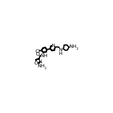 Nc1nc(C(=O)Nc2cc(-c3ccc(CN[C@H]4CC[C@H](N)CC4)nc3)ccc2Cl)co1